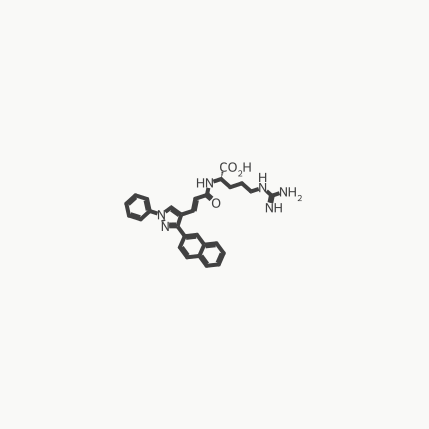 N=C(N)NCCC[C@H](NC(=O)C=Cc1cn(-c2ccccc2)nc1-c1ccc2ccccc2c1)C(=O)O